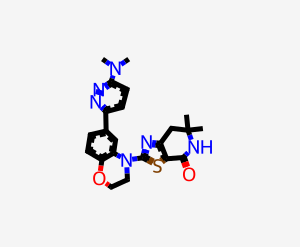 CN(C)c1ccc(-c2ccc3c(c2)N(c2nc4c(s2)C(=O)NC(C)(C)C4)CCO3)nn1